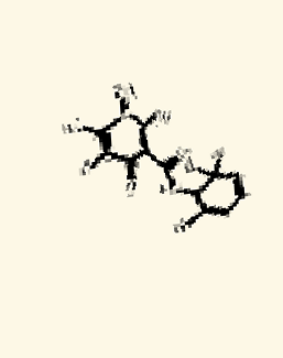 CCCCc1c(C(=O)NC2C(CC)=CC=CC2(Br)CC)c(=O)c(Br)c(C)n1C